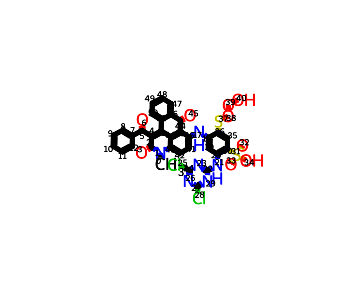 Cn1c(=O)c(C(=O)c2ccccc2)c2c3c(c(Nc4cc(Nc5nc(Cl)nc(Cl)n5)c(S(=O)(=O)O)cc4SOOO)ccc31)C(=O)c1ccccc1-2